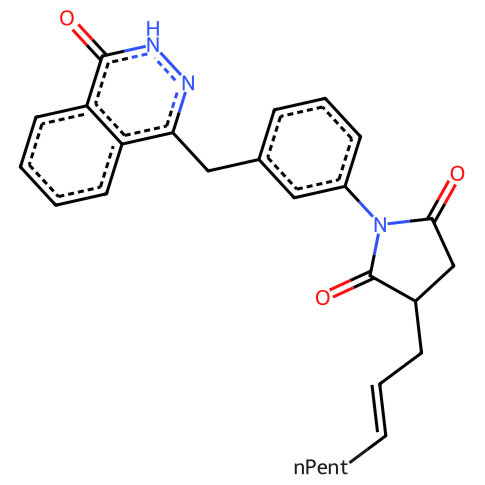 CCCCC/C=C/CC1CC(=O)N(c2cccc(Cc3n[nH]c(=O)c4ccccc34)c2)C1=O